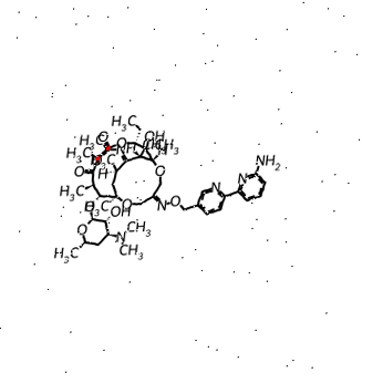 CC[C@H]1OC(=O)[C@H](C)C(=O)[C@H](C)[C@@H](O[C@@H]2O[C@H](C)C[C@H](N(C)C)[C@H]2O)[C@@]2(C)C[C@@H](C)/C(=N\C(C)=O)[C@H](C)[C@@H](OC/C(=N\OCc3ccc(-c4cccc(N)n4)nc3)CO2)[C@]1(C)O